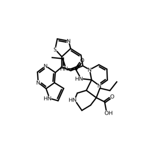 CCCC1(C(=O)O)CCNCC1C1(NC(=O)NCC)N=CC=CN1c1cc(-c2ncnc3[nH]ccc23)c2scnc2c1